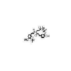 CC(C)OC(=O)CCC(C(=O)/C=C/c1ccc(O)c(OC(F)(F)F)c1)C(=O)/C=C/c1ccc(O)c(OC(F)(F)F)c1